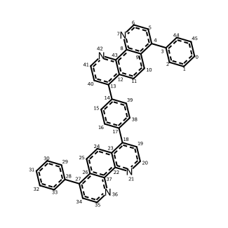 c1ccc(-c2ccnc3c2ccc2c(-c4ccc(-c5ccnc6c5ccc5c(-c7ccccc7)ccnc56)cc4)ccnc23)cc1